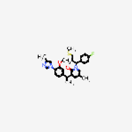 COc1cc(C(C)c2cc(C)cn(C(CCSC)c3ccc(F)cc3)c2=O)ccc1-n1cnc(C)c1